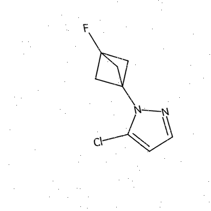 FC12CC(n3nccc3Cl)(C1)C2